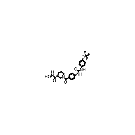 O=C(Nc1ccc(OC(F)(F)F)cc1)Nc1ccc(C(=O)N2CCC[C@H](C(=O)NO)C2)cc1